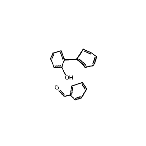 O=Cc1ccccc1.Oc1ccccc1-c1ccccc1